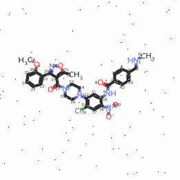 CNCc1ccc(C(=O)Nc2cc(N3CCN(C(=O)c4c(-c5ccccc5OC)noc4C)CC3)c(Cl)cc2[N+](=O)[O-])cc1